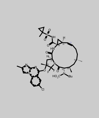 CCC(C)N(C(=O)O)[C@@H]1C(=O)N2[C@@H](C[C@@](C)(Oc3nc4nc(C)cn4c4ccc(Cl)cc34)C2(F)F)C(=O)N[C@]2(C(=O)NS(=O)(=O)C3(C)CC3)C[C@H]2/C=C\CC[C@H](C)C[C@H]1C